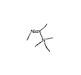 CN=C(C)[N+](C)(C)C